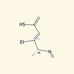 C=N[C@H](C)/C(=C/C(=C)S)CC